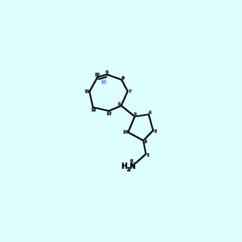 NCC1CCC(C2CC/C=C\CCC2)C1